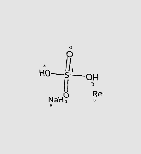 O=S(=O)(O)O.[NaH].[Re]